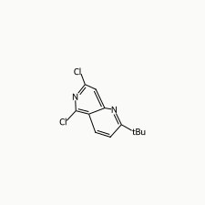 CC(C)(C)c1ccc2c(Cl)nc(Cl)cc2n1